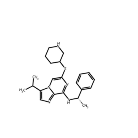 CC(C)c1cnc2c(N[C@@H](C)c3ccccc3)nc(SC3CCCNC3)cn12